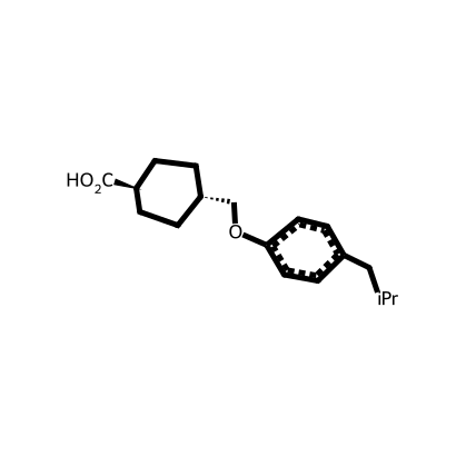 CC(C)Cc1ccc(OC[C@H]2CC[C@H](C(=O)O)CC2)cc1